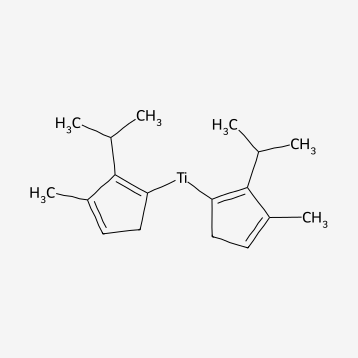 CC1=CC[C]([Ti][C]2=C(C(C)C)C(C)=CC2)=C1C(C)C